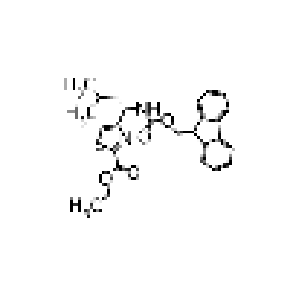 CCOC(=O)c1nc([C@H](CC(C)C)NC(=O)OCC2c3ccccc3-c3ccccc32)cs1